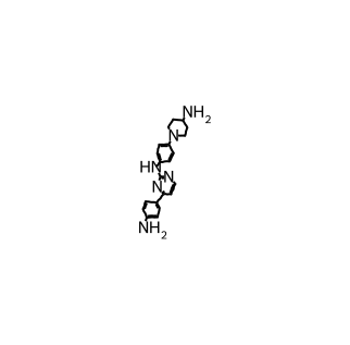 Nc1ccc(-c2ccnc(Nc3ccc(N4CCC(N)CC4)cc3)n2)cc1